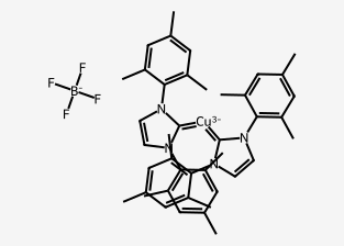 Cc1cc(C)c(-n2ccn(-c3c(C)cc(C)cc3C)[c]2=[Cu-3]=[c]2n(-c3c(C)cc(C)cc3C)ccn2-c2c(C)cc(C)cc2C)c(C)c1.F[B-](F)(F)F